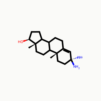 C[C@]12CC[C@]([NH])(N)C=C1CCC1C2CC[C@@]2(C)C1CC[C@@H]2O